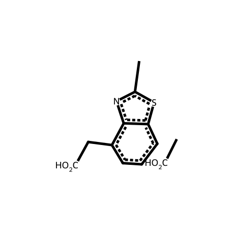 CC(=O)O.Cc1nc2c(CC(=O)O)cccc2s1